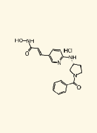 Cl.O=C(/C=C/c1ccc(N[C@@H]2CCN(C(=O)c3ccccc3)C2)nc1)NO